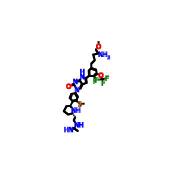 COC[C@H](N)CCCc1cc(OC(F)(F)F)c(F)c(-c2cc3cn(-c4ccc([C@@H]5CCC[C@@H](CCNC(C)=N)N5)c(SC)c4)c(=O)nc3[nH]2)c1